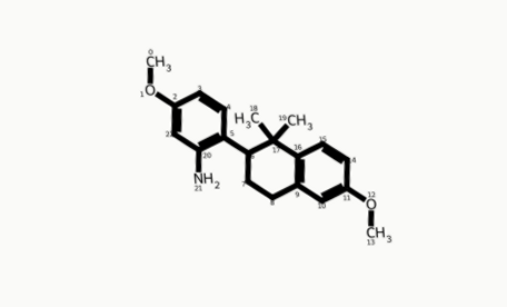 COc1ccc(C2CCc3cc(OC)ccc3C2(C)C)c(N)c1